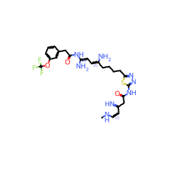 CN/C=C\C(=N)CC(=O)Nc1nnc(CCCC/C(N)=C/C=C(\N)NC(=O)Cc2cccc(OC(F)(F)F)c2)s1